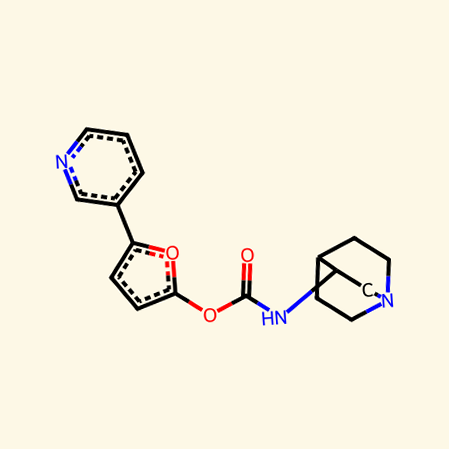 O=C(NC1CN2CCC1CC2)Oc1ccc(-c2cccnc2)o1